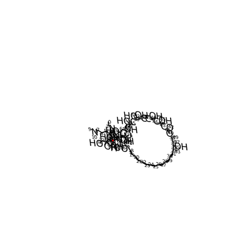 CC/N=C(\NCCCN(C)C)N[C@@H]1[C@H](O)[C@H](O[C@H]2/C=C/C=C/C=C/C=C/C=C/C=C/C=C/[C@H](C)[C@@H](O)[C@@H](C)[C@H](C)OC(=O)C[C@H](O)C[C@H](O)CC[C@@H](O)[C@H](O)C[C@H](O)C[C@]3(O)C[C@H](O)[C@@H](NC(=O)NC[C@H](O)CO)[C@H](C2)O3)O[C@H](C)[C@H]1O